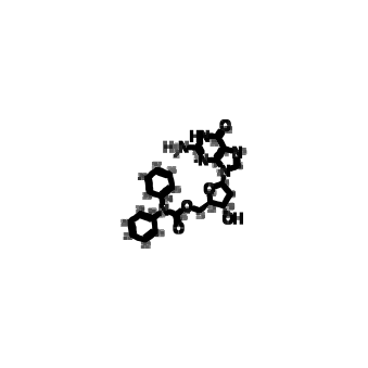 Nc1nc2c(ncn2[C@H]2C[C@H](O)[C@@H](COC(=O)N(c3ccccc3)c3ccccc3)O2)c(=O)[nH]1